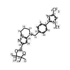 CCn1cc(C(F)(F)F)nc1-c1ccc(CN2CCCn3nc(B4OC(C)(C)C(C)(C)O4)cc32)cc1